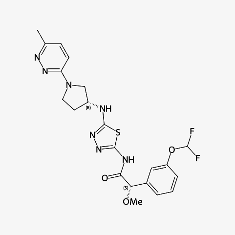 CO[C@H](C(=O)Nc1nnc(N[C@@H]2CCN(c3ccc(C)nn3)C2)s1)c1cccc(OC(F)F)c1